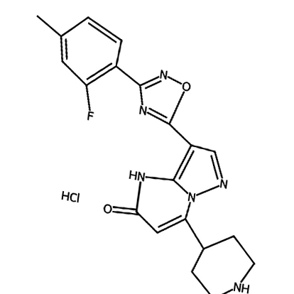 Cc1ccc(-c2noc(-c3cnn4c(C5CCNCC5)cc(=O)[nH]c34)n2)c(F)c1.Cl